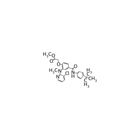 COC(=O)COc1ccc(C(=O)Nc2ccc(C(C)(C)C)cc2)cc1N(C)c1ncccc1Cl